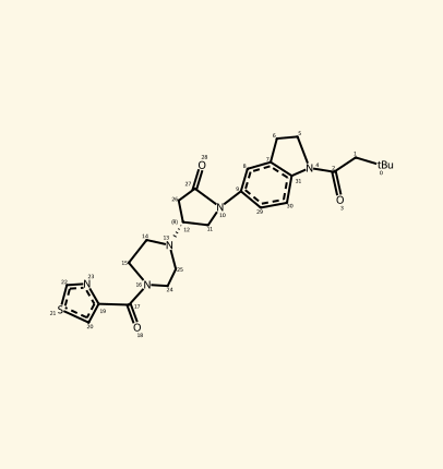 CC(C)(C)CC(=O)N1CCc2cc(N3C[C@H](N4CCN(C(=O)c5cscn5)CC4)CC3=O)ccc21